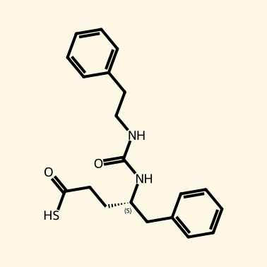 O=C(S)CC[C@@H](Cc1ccccc1)NC(=O)NCCc1ccccc1